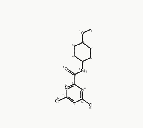 COC1CCC(NC(=O)c2nc(Cl)cc(Cl)n2)CC1